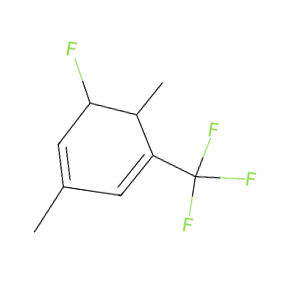 CC1=CC(F)C(C)C(C(F)(F)F)=C1